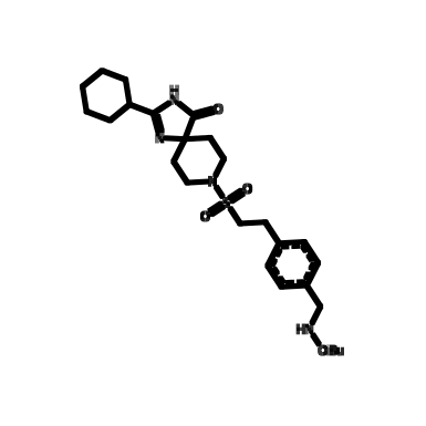 CC(C)CONCc1ccc(CCS(=O)(=O)N2CCC3(CC2)N=C(C2CCCCC2)NC3=O)cc1